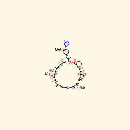 CO[C@H]1C[C@@H]2CC[C@@H](C)[C@@](O)(O2)C(=O)C(=O)N2CCCCC2C(=O)O[C@H]([C@H](C)C[C@@H]2CC[C@@H](n3cnnn3)[C@H](OC)C2)CC(=O)[C@H](C)/C=C(\C)[C@@H](O)[C@@H](OC)C(=O)[C@@H](C)C[C@H](C)/C=C/C=C/C=C/1C